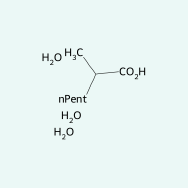 CCCCCC(C)C(=O)O.O.O.O